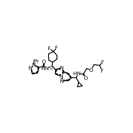 CC(C)n1nccc1C(=O)N[C@H](c1cn2ncc(C(NC(=O)COCC(F)F)C3CC3)cc2n1)C1CCC(F)(F)CC1